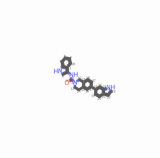 O=C(Nc1c[nH]c2ccccc12)N1CCc2cc(-c3ccc4cc[nH]c4c3)ccc2C1